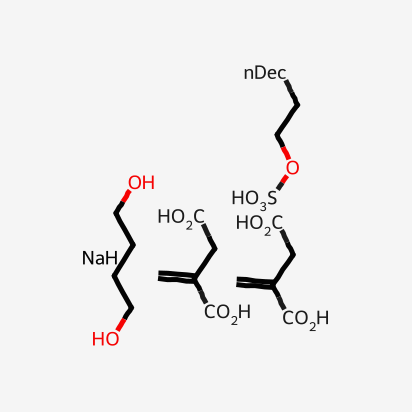 C=C(CC(=O)O)C(=O)O.C=C(CC(=O)O)C(=O)O.CCCCCCCCCCCCOS(=O)(=O)O.OCCCCO.[NaH]